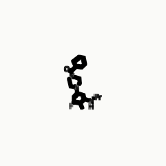 Cc1c(F)cc(N2CCN(C(=O)c3ccccc3)CC2)cc1NC(C)C